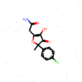 CC1(c2ccc(Cl)cc2)OC(CC(N)=O)=C(O)C1=O